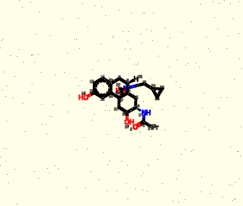 CC(C)C(=O)N[C@H]1C[C@@]2(O)[C@H]3Cc4ccc(O)cc4[C@@]2(CCN3CC2CC2)CC1O